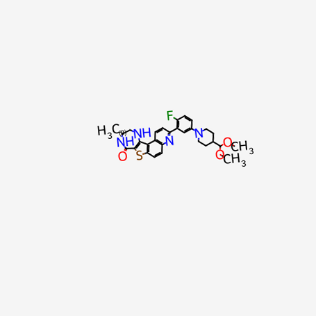 COC(OC)C1CCN(c2ccc(F)c(-c3ccc4c(ccc5sc6c(c54)NC[C@@H](C)NC6=O)n3)c2)CC1